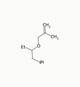 C=C(C)COC([CH]C(C)C)CC